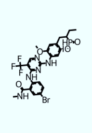 CCC(Cc1ccc(Nc2ncc(C(F)(F)F)c(Nc3ccc(Br)cc3C(=O)NC)n2)c(OC)c1)[PH](=O)O